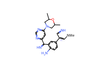 CN/C=C(\C=N)c1ccc(N)c(C(=N)c2cc(N3CC(C)OC(C)C3)ncn2)c1